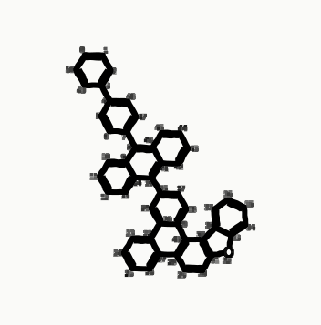 c1ccc(-c2ccc(-c3c4ccccc4c(-c4ccc5c(c4)c4ccccc4c4ccc6oc7ccccc7c6c45)c4ccccc34)cc2)cc1